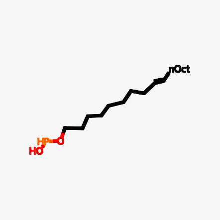 CCCCCCCC/C=C/CCCCCCCCOPO